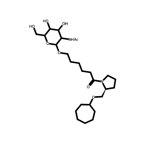 CC(=O)NC1C(OCCCCCC(=O)N2CCC[C@H]2COC2CCCCCC2)OC(CO)C(O)C1O